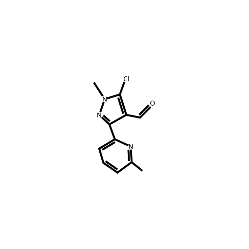 Cc1cccc(-c2nn(C)c(Cl)c2C=O)n1